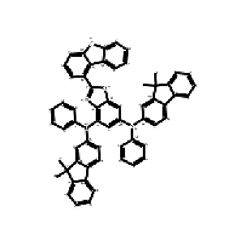 CC1(C)c2ccccc2-c2ccc(N(c3ccccc3)c3cc(N(c4ccccc4)c4ccc5c(c4)C(C)(C)c4ccccc4-5)c4nc(-c5cccc6oc7ccccc7c56)oc4c3)cc21